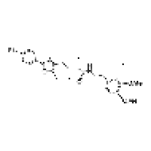 CCc1ccc(-c2nc(CCCC(=O)NCCc3ccc(OC)c(OC)c3)c(C)o2)cc1